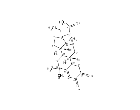 CC[C@@]1(OC(C)=O)CC[C@H]2[C@@H]3CC(C)(C)C4=CC(=O)C(=O)C[C@@H]4[C@H]3CC[C@@]21C